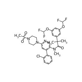 CN(C(=O)C(C)(C)c1cc(OC(F)F)cc(OC(F)F)c1)c1cnc(N2CCN(S(C)(=O)=O)CC2)cc1-c1ccccc1Cl